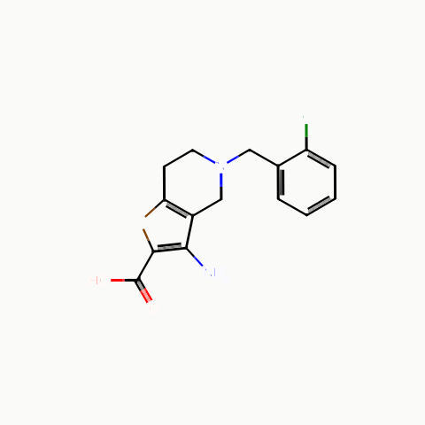 Nc1c(C(=O)O)sc2c1CN(Cc1ccccc1Cl)CC2